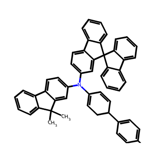 Cc1ccc(C2C=CC(N(c3ccc4c(c3)C(C)(C)c3ccccc3-4)c3ccc4c(c3)C3(c5ccccc5-c5ccccc53)c3ccccc3-4)=CC2)cc1